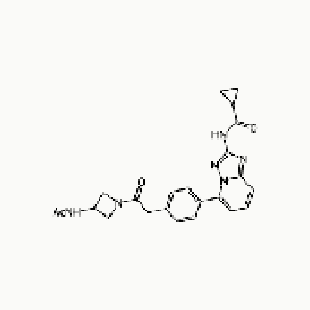 CC(=O)NC1CN(C(=O)Cc2ccc(-c3cccc4nc(NC(=O)C5CC5)nn34)cc2)C1